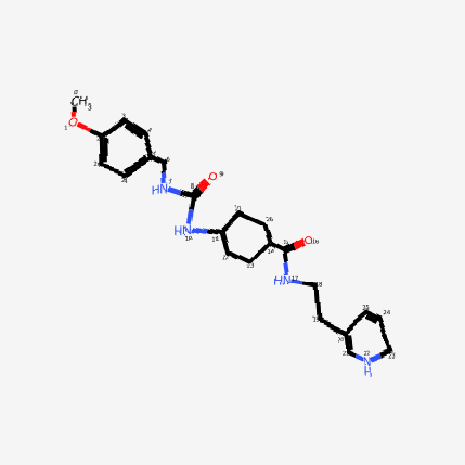 COc1ccc(CNC(=O)NC2CCC(C(=O)NCCC3=CNCC=C3)CC2)cc1